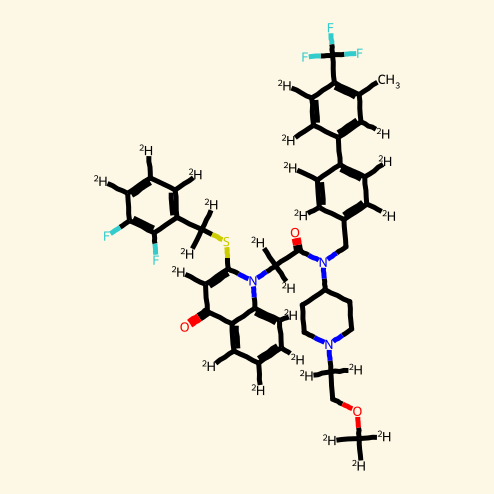 [2H]c1c([2H])c(F)c(F)c(C([2H])([2H])Sc2c([2H])c(=O)c3c([2H])c([2H])c([2H])c([2H])c3n2C([2H])([2H])C(=O)N(Cc2c([2H])c([2H])c(-c3c([2H])c([2H])c(C(F)(F)F)c(C)c3[2H])c([2H])c2[2H])C2CCN(C([2H])([2H])COC([2H])([2H])[2H])CC2)c1[2H]